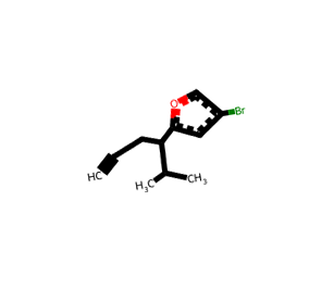 C#CCC(c1cc(Br)co1)C(C)C